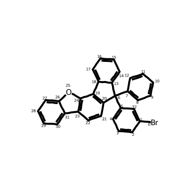 Brc1cccc(C2(c3ccccc3)c3ccccc3-c3c2ccc2c3oc3ccccc32)c1